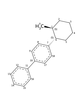 C[C@H]1CCCC[C@@H]1c1ccc(-c2ccccc2)cc1